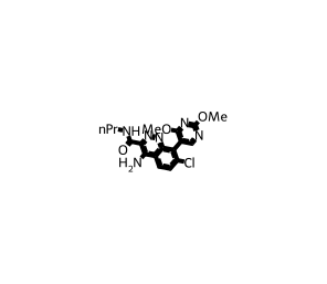 CCCNC(=O)c1nnc2c(-c3cnc(OC)nc3OC)c(Cl)ccc2c1N